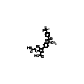 CN(c1ccc(-c2sc(C(=O)O)c(OCC(=O)O)c2Br)cc1)S(=O)(=O)c1ccc(C(F)(F)F)cc1